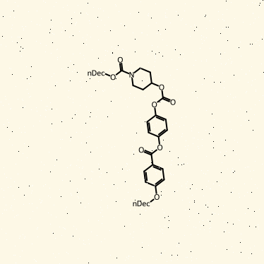 CCCCCCCCCCOC(=O)N1CCC(OC(=O)Oc2ccc(OC(=O)c3ccc(OCCCCCCCCCC)cc3)cc2)CC1